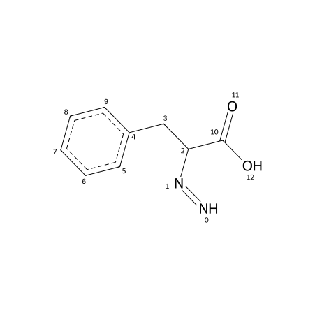 N=NC(Cc1ccccc1)C(=O)O